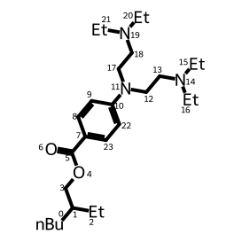 CCCCC(CC)COC(=O)c1ccc(N(CCN(CC)CC)CCN(CC)CC)cc1